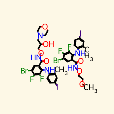 COCCONC(=O)c1cc(Br)c(F)c(F)c1Nc1ccc(I)cc1C.Cc1cc(I)ccc1Nc1c(C(=O)NOCC(O)CN2CCOCC2)cc(Br)c(F)c1F